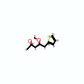 COC(CC(C)=O)Cc1cccs1